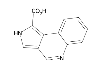 O=C(O)c1[nH]cc2cnc3ccccc3c12